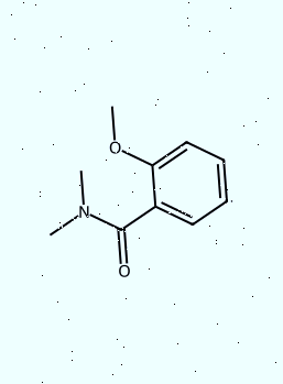 COc1cc[c]cc1C(=O)N(C)C